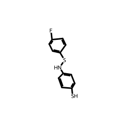 Fc1ccc(SNc2ccc(S)cc2)cc1